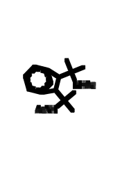 CC(=O)NC(C)(C)C1c2cccc(c2)C1C(C)(C)NC(C)=O